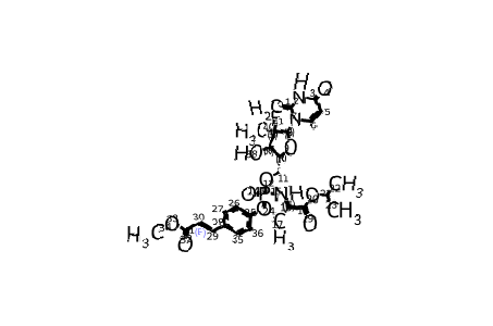 C=C1NC(=O)C=CN1[C@@H]1O[C@H](COP(=O)(N[C@@H](C)C(=O)OC(C)C)Oc2ccc(/C=C/C(=O)OC)cc2)[C@@H](O)[C@@]1(C)F